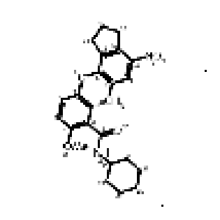 COc1ccc(Oc2c(C)cc([N+](=O)[O-])c3c2CCC3)cc1C(=O)NC1CCCCC1